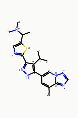 Cc1cc(-c2[nH]nc(-c3ncc(C(C)N(C)C)s3)c2C(C)C)cn2ncnc12